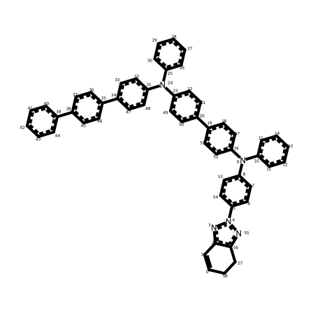 C1=Cc2nn(-c3ccc(N(c4ccccc4)c4ccc(-c5ccc(N(c6ccccc6)c6ccc(-c7ccc(-c8ccccc8)cc7)cc6)cc5)cc4)cc3)nc2CC1